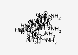 C[C@H](NC(=O)[C@H](CCN)NC(=O)[C@@H](N)CCCCN)C(=O)NCC(=O)N[C@H](CCCN)C(=O)N1CCC[C@H]1C(=O)N[C@@H](Cc1cnc[nH]1)C(=O)N[C@@H](CCCCN)C(=O)N/C(=C/CCNC(=N)N)C(=O)N[C@@H](CCCCN)C(=O)NCCCCN